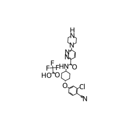 N#Cc1ccc(O[C@H]2CC[C@H](NC(=O)c3ccc(N4CCNCC4)nn3)CC2)cc1Cl.O=C(O)C(F)(F)F